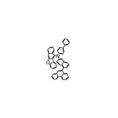 c1ccc(-c2ccc(N(c3ccc4c(-c5cc6ccccc6c6ccccc56)cccc4c3)c3c4ccccc4cc4oc5ccccc5c34)cc2)cc1